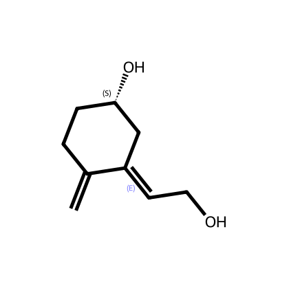 C=C1CC[C@H](O)C/C1=C\CO